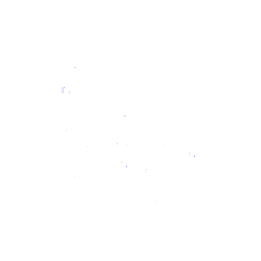 CC(C)(C)NC(=O)OC1SCN(c2cccnc2)C1=O